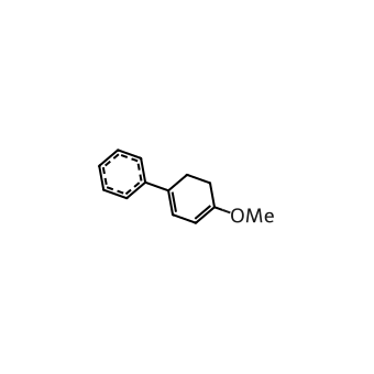 COC1=CC=C(c2ccccc2)CC1